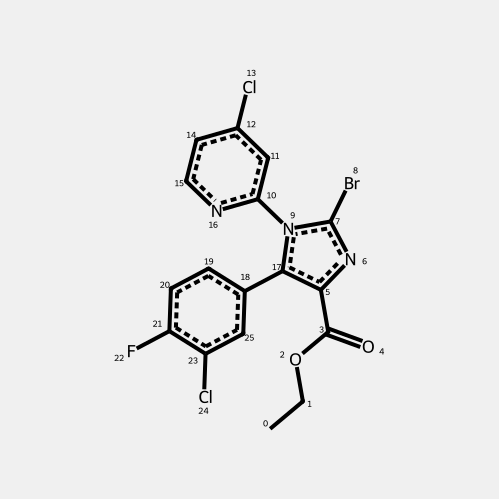 CCOC(=O)c1nc(Br)n(-c2cc(Cl)ccn2)c1-c1ccc(F)c(Cl)c1